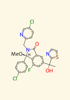 CO[C@]1(c2ccc(Cl)cc2)c2c(F)cc(C(C)(O)c3nccs3)cc2C(=O)N1Cc1ccc(Cl)cn1